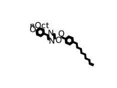 C=CCCCCCCCc1ccc(C(=O)Oc2cnc(-c3ccc(OCCCCCCCC)cc3)cn2)cc1